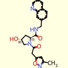 Cc1cc(CC(=O)N2C[C@H](O)C[C@H]2C(=O)NCc2ccc3cccnc3c2)on1